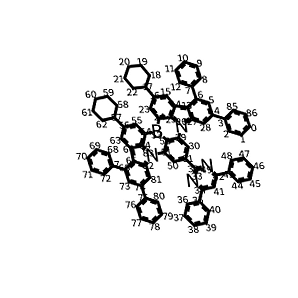 c1ccc(-c2cc(-c3ccccc3)c3c4cc(C5CCCCC5)cc5c4n(c3c2)-c2cc(-c3nc(-c4ccccc4)cc(-c4ccccc4)n3)cc3c2B5c2cc(C4CCCCC4)cc4c5c(-c6ccccc6)cc(-c6ccccc6)cc5n-3c24)cc1